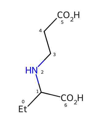 CCC(NCCC(=O)O)C(=O)O